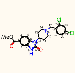 COC(=O)c1ccc2c(c1)[nH]c(=O)n2C1CCN(Cc2ccc(Cl)cc2Cl)CC1